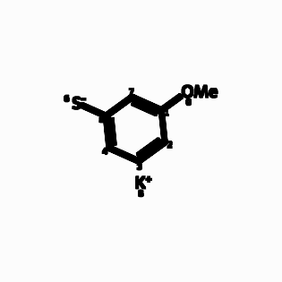 COc1cccc([S-])c1.[K+]